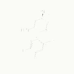 NC1C[C@@H](N)CC[C@@H]1c1cc(F)c(F)cc1F